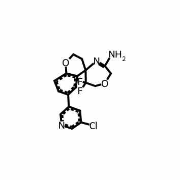 NC1=NC2(CCOc3ccc(-c4cncc(Cl)c4)cc32)C(F)(F)COC1